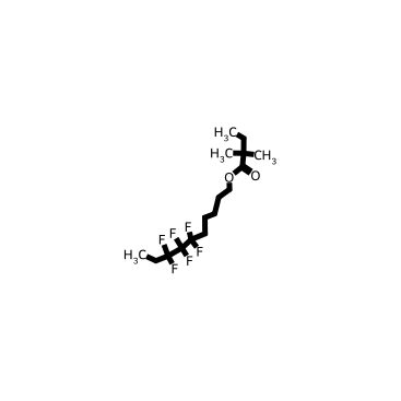 CCC(C)(C)C(=O)OCCCCCC(F)(F)C(F)(F)C(F)(F)CC